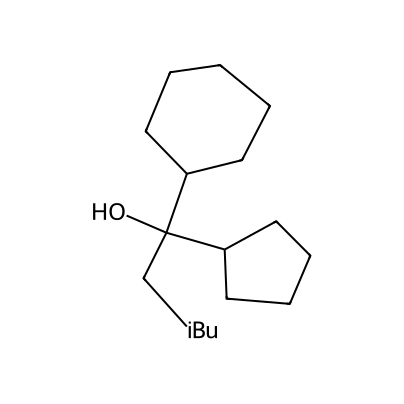 CCC(C)CC(O)(C1CCCCC1)C1CCCC1